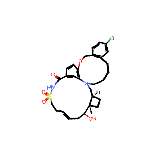 C[C@]12CC[C@@H]1CN1CCCCc3cc(Cl)ccc3COc3ccc(cc31)C(=O)NS(=O)(=O)CC/C=C/C[C@@H]2O